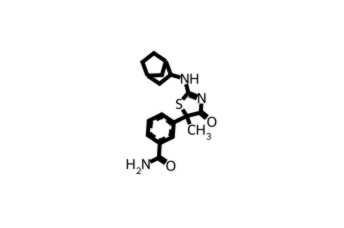 CC1(c2cccc(C(N)=O)c2)SC(NC2CC3CCC2C3)=NC1=O